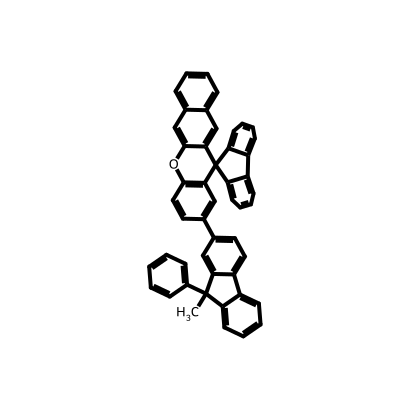 CC1(c2ccccc2)c2ccccc2-c2ccc(-c3ccc4c(c3)C3(c5cc6ccccc6cc5O4)c4ccccc4-c4ccccc43)cc21